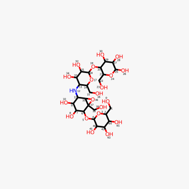 OCC1OC(OC2C(O)C(O)C(NC3C(CO)OC(OC4C(CO)OC(O)C(O)C4O)C(O)C3O)C3OC23CO)C(O)C(O)C1O